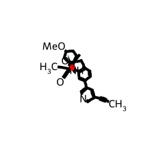 CC#Cc1cncc(-c2ccc3c(c2)C2(NC(=O)N(C)C2=O)C2(CCC(OC)CC2)C3)c1